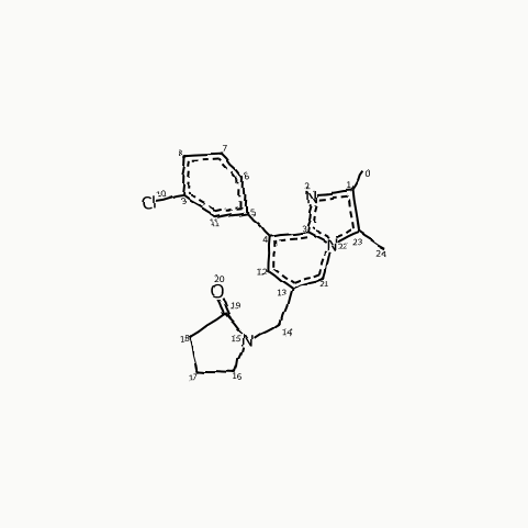 Cc1nc2c(-c3cccc(Cl)c3)cc(CN3CCCC3=O)cn2c1C